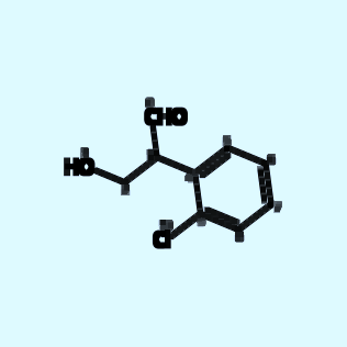 O=CC(CO)c1ccccc1Cl